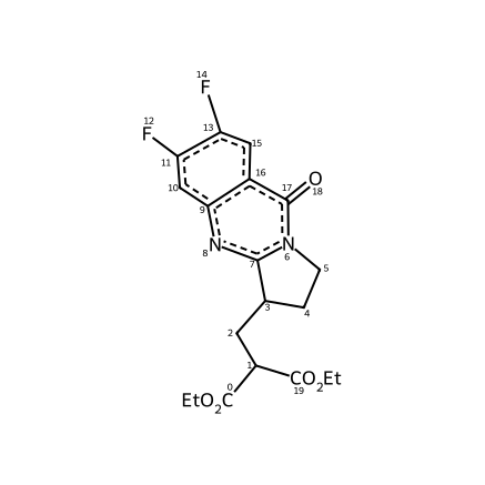 CCOC(=O)C(CC1CCn2c1nc1cc(F)c(F)cc1c2=O)C(=O)OCC